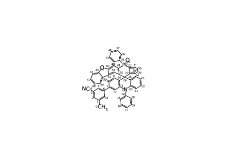 Cc1cc(C#N)cc(-c2ccc3c(c2)N(c2ccccc2)c2ccccc2C32c3ccccc3P(=O)(c3ccccc3)c3cc4oc5ccccc5c4cc32)c1